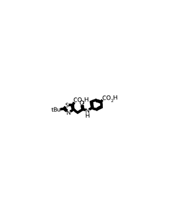 CC(C)(C)c1nc(CC(=O)Nc2ccc(C(=O)O)cc2)c(C(=O)O)s1